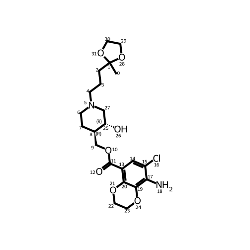 CC1(CCCN2CC[C@H](COC(=O)c3cc(Cl)c(N)c4c3OCCO4)[C@@H](O)C2)OCCO1